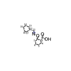 O=C(O)c1ccccc1O/N=C/c1ccccc1